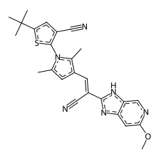 COc1cc2nc(/C(C#N)=C/c3cc(C)n(-c4sc(C(C)(C)C)cc4C#N)c3C)[nH]c2cn1